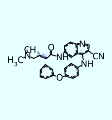 CN(C)C/C=C/C(=O)Nc1ccc2ncc(C#N)c(Nc3ccc(Oc4ccccc4)cc3)c2c1